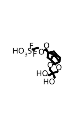 O=C(OCC(F)(F)S(=O)(=O)O)C12CC3CC(C1)C1(OCC(CO)(CO)CO1)C(C3)C2